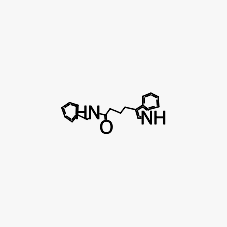 O=C(CCCc1c[nH]c2ccccc12)NCc1ccccc1